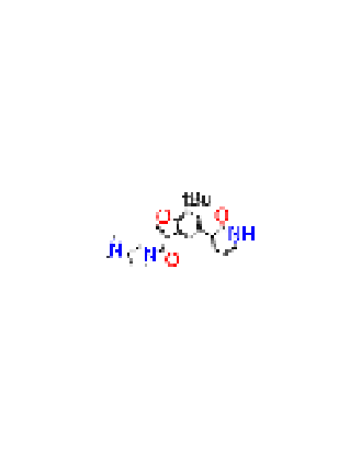 CN(C)[C@H]1CCN(C(=O)c2coc3c(C(C)(C)C)cc(-c4ccc[nH]c4=O)cc23)C1